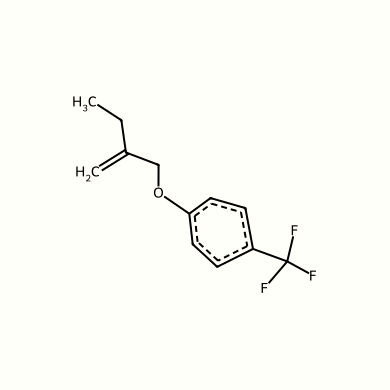 C=C(CC)COc1ccc(C(F)(F)F)cc1